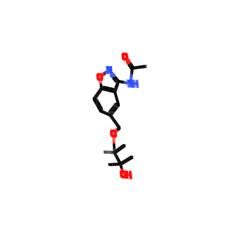 CC(=O)Nc1noc2ccc(COC(C)(C)C(C)(C)O)cc12